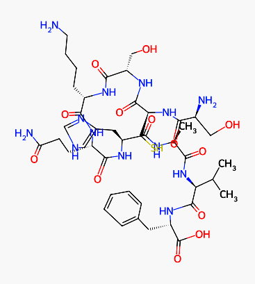 CC(C)[C@H](NC(=O)[C@H](C)NC(=O)[C@H](Cc1c[nH]cn1)NC(=O)[C@H](CCC(N)=O)NC(=O)[C@H](CCCCN)NC(=O)[C@H](CO)NC(=O)[C@H](CS)NC(=O)[C@@H](N)CO)C(=O)N[C@@H](Cc1ccccc1)C(=O)O